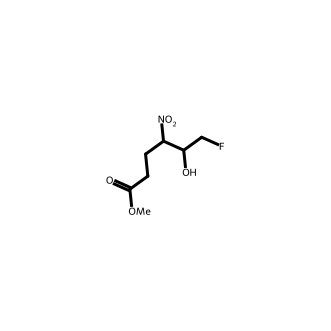 COC(=O)CCC(C(O)CF)[N+](=O)[O-]